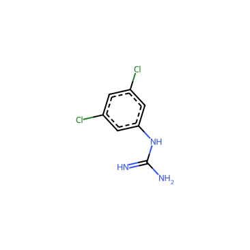 N=C(N)Nc1cc(Cl)cc(Cl)c1